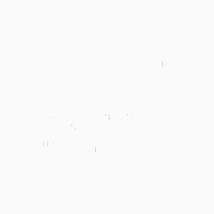 CCn1c(=O)ccc2c1c(I)cn2S(=O)(=O)c1ccc(C)cc1